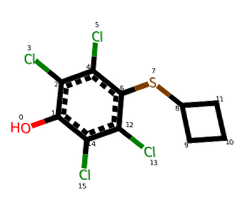 Oc1c(Cl)c(Cl)c(SC2CCC2)c(Cl)c1Cl